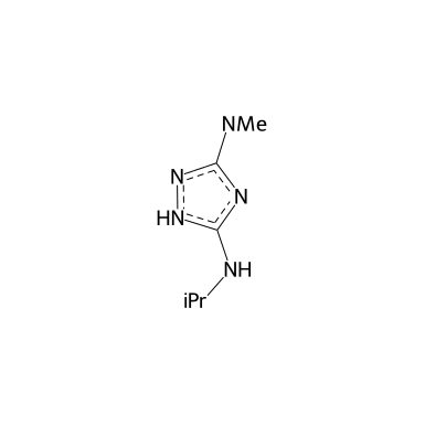 CNc1n[nH]c(NC(C)C)n1